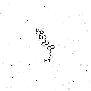 C/C=C(/C1=CCC(C2=C3C=CC=CC3C(C3=C4C=CC=CC4C(/C=C/CCC=N)C=C3)CC2)CC1)C1C=CCCC1CC